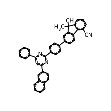 CC1(C)c2cc(-c3ccc(-c4nc(-c5ccccc5)nc(-c5ccc6ccccc6c5)n4)cc3)ccc2-c2c(C#N)cccc21